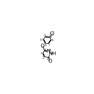 O=c1ccc(Oc2ccc(Cl)cc2)n[nH]1